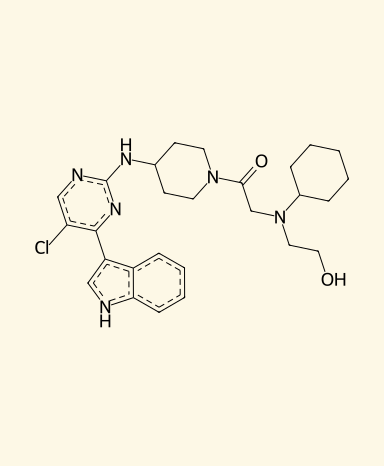 O=C(CN(CCO)C1CCCCC1)N1CCC(Nc2ncc(Cl)c(-c3c[nH]c4ccccc34)n2)CC1